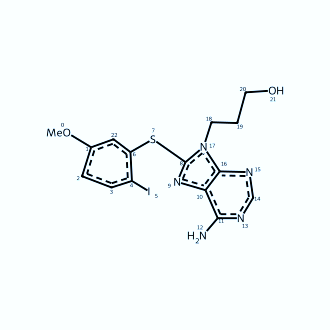 COc1ccc(I)c(Sc2nc3c(N)ncnc3n2CCCO)c1